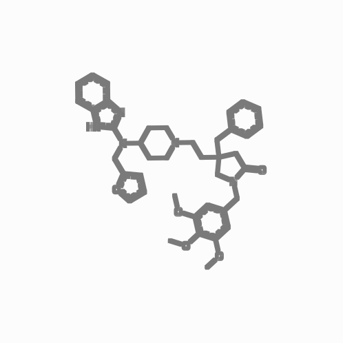 COc1cc(CN2CC(CCN3CCC(N(Cc4ccco4)c4nc5ccccc5[nH]4)CC3)(Cc3ccccc3)CC2=O)cc(OC)c1OC